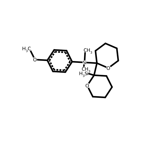 COc1ccc([Si](C)(C)C2(C3([SiH3])CCCCO3)CCCCO2)cc1